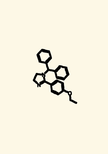 CCOc1ccc(C2=NCCN2C(c2ccccc2)c2ccccc2)cc1